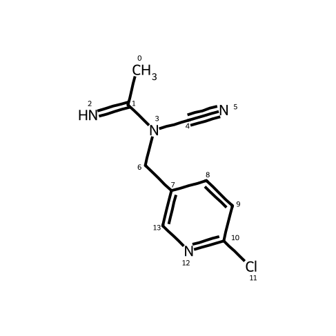 CC(=N)N(C#N)Cc1ccc(Cl)nc1